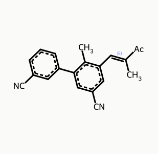 CC(=O)/C(C)=C/c1cc(C#N)cc(-c2cccc(C#N)c2)c1C